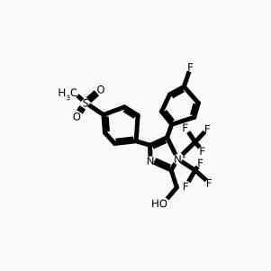 CS(=O)(=O)c1ccc(C2=C(c3ccc(F)cc3)[N+](C(F)(F)F)(C(F)(F)F)C(CO)=N2)cc1